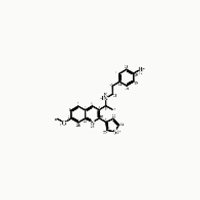 COc1ccc2cc(C(C)NCCc3ccc(Br)cc3)c(-c3ccsc3)nc2c1